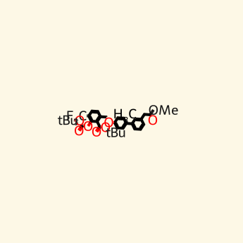 COC(=O)Cc1cccc(-c2ccc(OCc3ccc(C(F)(F)F)c(OC(=O)OC(C)(C)C)c3C(=O)OC(C)(C)C)cc2)c1C